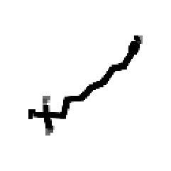 N#CCCCCCCCC(F)(F)F